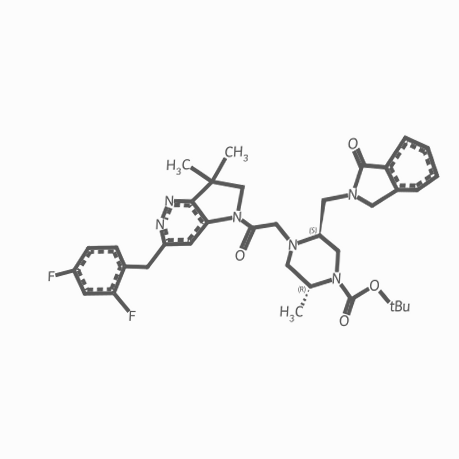 C[C@@H]1CN(CC(=O)N2CC(C)(C)c3nnc(Cc4ccc(F)cc4F)cc32)[C@@H](CN2Cc3ccccc3C2=O)CN1C(=O)OC(C)(C)C